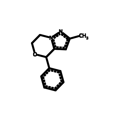 Cc1cc2n(n1)CCOC2c1ccccc1